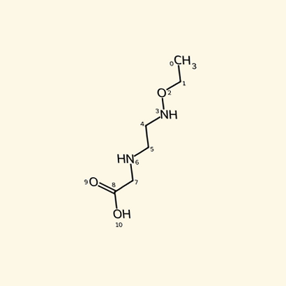 CCONCCNCC(=O)O